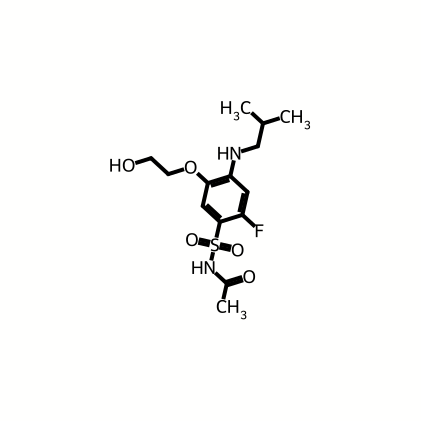 CC(=O)NS(=O)(=O)c1cc(OCCO)c(NCC(C)C)cc1F